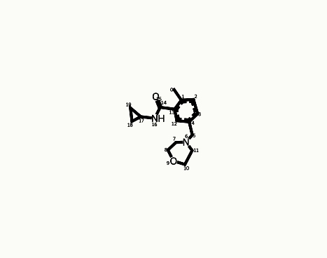 Cc1ccc(CN2CCOCC2)cc1C(=O)NC1CC1